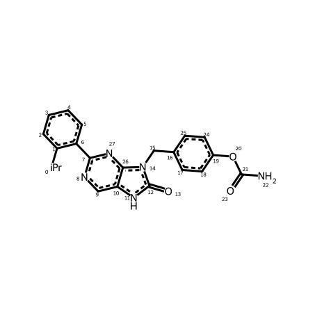 CC(C)c1ccccc1-c1ncc2[nH]c(=O)n(Cc3ccc(OC(N)=O)cc3)c2n1